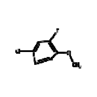 COc1[c]cc(Cl)cc1F